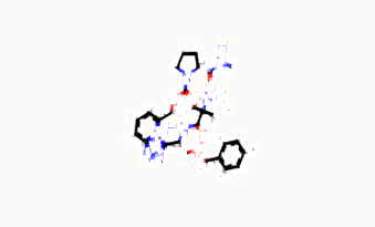 CNC(=O)[C@H]1CCCN1C(=O)OCc1cccc2nnc([C@@H](COCc3ccccc3)NC(=O)C(C)(C)N)n12